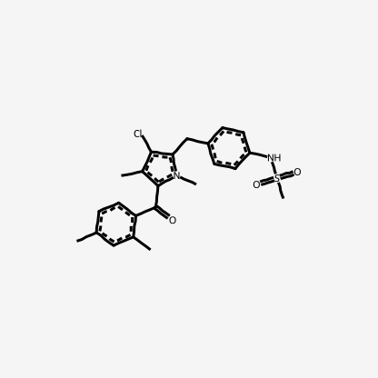 Cc1ccc(C(=O)c2c(C)c(Cl)c(Cc3ccc(NS(C)(=O)=O)cc3)n2C)c(C)c1